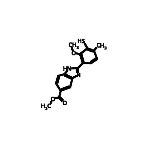 COC(=O)c1ccc2[nH]c(-c3ccc(C)c(S)c3OC)nc2c1